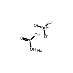 O=S(O)O.[Na+].[O-][Br+2]([O-])[O-]